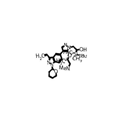 C=Cc1nn(C2CCCCO2)c2ccc(-c3cnn(CC(O)[Si](C)(C)C(C)(C)C)c3O[C@@H](C)CNC)cc12